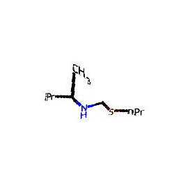 CCCSCNC(C)C(C)C